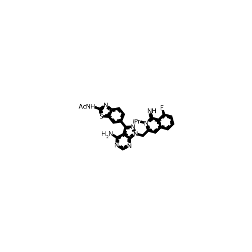 CC(=O)Nc1nc2ccc(-c3nn(Cc4cc5cccc(F)c5c(=N)n4C(C)C)c4ncnc(N)c34)cc2s1